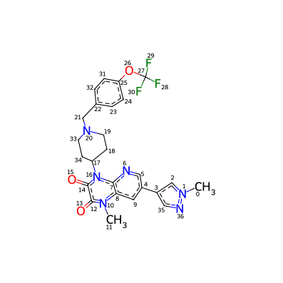 Cn1cc(-c2cnc3c(c2)n(C)c(=O)c(=O)n3C2CCN(Cc3ccc(OC(F)(F)F)cc3)CC2)cn1